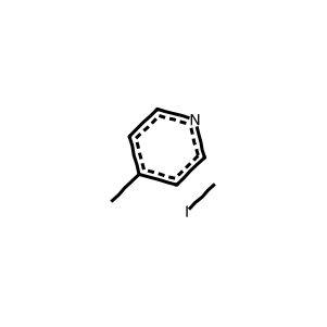 CI.Cc1ccncc1